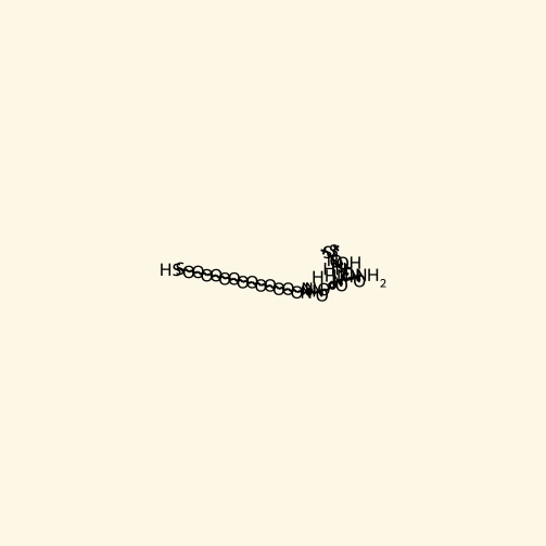 CC(C)[C@H](NC(=O)CON=C(CSC(C)(C)C)CSC(C)(C)C)C(=O)N[C@@H](CCCNC(N)=O)C(=O)Nc1ccc(COC(=O)NCc2cn(CCOCCOCCOCCOCCOCCOCCOCCOCCOCCOCCOCCOCCOCCSS)nn2)cc1